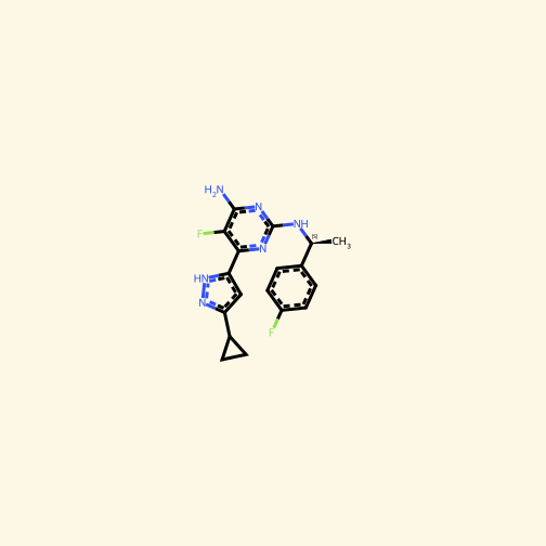 C[C@H](Nc1nc(N)c(F)c(-c2cc(C3CC3)n[nH]2)n1)c1ccc(F)cc1